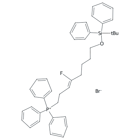 CC(C)(C)[Si](OCCCCC(F)=CCC[P+](c1ccccc1)(c1ccccc1)c1ccccc1)(c1ccccc1)c1ccccc1.[Br-]